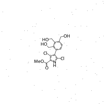 COC(=O)c1[nH]c(Cl)c(-c2ccc(CO)c(CO)c2CO)c1Cl